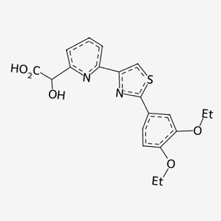 CCOc1ccc(-c2nc(-c3cccc(C(O)C(=O)O)n3)cs2)cc1OCC